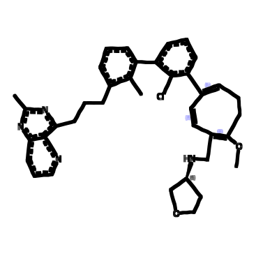 CO/C1=C(CN[C@H]2CCOC2)/C=C\C(c2cccc(-c3cccc(CCCc4nc(C)nc5cccnc45)c3C)c2Cl)=C/CC1